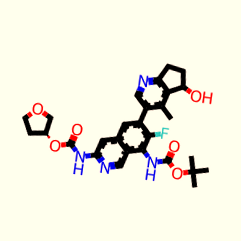 Cc1c(-c2cc3cc(NC(=O)O[C@@H]4CCOC4)ncc3c(NC(=O)OC(C)(C)C)c2F)cnc2c1C(O)CC2